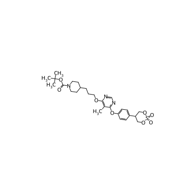 Cc1c(OCCCC2CCN(C(=O)OC(C)(C)C)CC2)ncnc1Oc1ccc(C2COS(=O)(=O)OC2)cc1